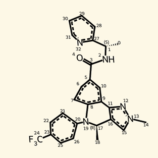 C[C@H](NC(=O)c1ccc2c(c1)-c1nn(C)cc1[C@@H](C)N2c1ccc(C(F)(F)F)cc1)c1ccccn1